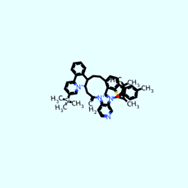 C=C1CC2C(CCc3ccc4c(sc5ccc(C)cc54)c3-c3n(C4=C(C(C)C)C4C)c4cnccc4[n+]31)c1ccccc1-c1ccc([Si](C)(C)C)c[n+]12